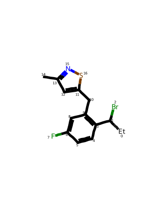 CCC(Br)c1ccc(F)cc1Cc1cc(C)ns1